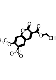 CCOC(=O)c1cc2cc([N+](=O)[O-])c(OC)cc2oc1=O